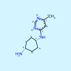 Cc1cc(N[C@H]2CC[C@@H](N)CC2)ncn1